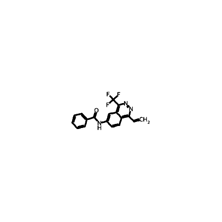 C=Cc1nnc(C(F)(F)F)c2cc(NC(=O)c3ccccc3)ccc12